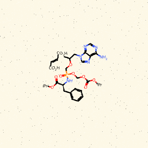 CC(C)OC(=O)OCOP(=O)(COC(C)Cn1cnc2c(N)ncnc21)N[C@@H](Cc1ccccc1)C(=O)OC(C)C.O=C(O)/C=C/C(=O)O